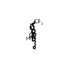 O=S(=O)(Nc1ccc(CCCC2CCCC2)cc1F)c1ccc2c(c1)CCN(CCCC(F)(F)F)C2